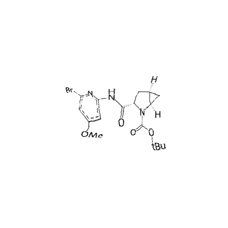 COc1cc(Br)nc(NC(=O)[C@@H]2C[C@H]3C[C@H]3N2C(=O)OC(C)(C)C)c1